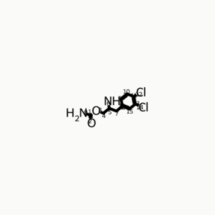 NC(=O)OCC(N)Cc1ccc(Cl)c(Cl)c1